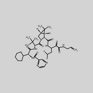 C=CCNC(=O)C(=O)C(CC(F)F)NC(=O)[C@@H]1[C@@H]2[C@H](CN1C(=O)[C@@H](NC(=O)[C@@H](NC(=O)c1cnccn1)C1CCCCC1)C(C)(C)C)C2(C)C